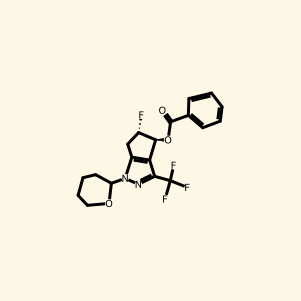 O=C(O[C@H]1c2c(C(F)(F)F)nn(C3CCCCO3)c2C[C@@H]1F)c1ccccc1